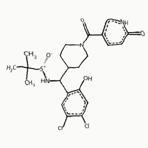 CC(C)(C)[S@+]([O-])NC(c1cc(Cl)c(Cl)cc1O)C1CCN(C(=O)c2ccc(=O)[nH]c2)CC1